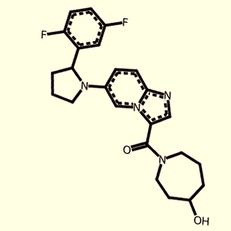 O=C(c1cnc2ccc(N3CCCC3c3cc(F)ccc3F)cn12)N1CCCC(O)CC1